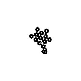 C1=CC23C=CC2c2cc(-c4ccc(-c5ccccc5-c5cc(-c6ccccc6-c6cnc(-c7ccccc7)cc6-c6ccccc6)cc(-c6ccccc6-c6cnc(-c7ccccc7)cc6-c6ccccc6)c5)cn4)ccc2C2C1C23